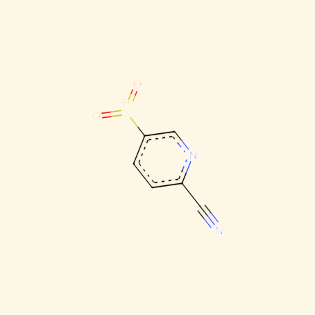 N#Cc1ccc([SH](=O)=O)cn1